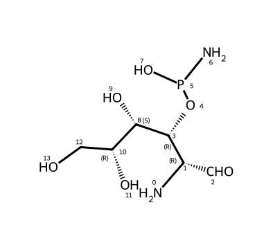 N[C@@H](C=O)[C@@H](OP(N)O)[C@@H](O)[C@H](O)CO